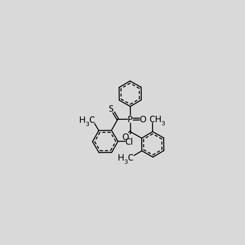 Cc1cccc(C)c1C(=O)P(=O)(C(=S)c1c(C)cccc1Cl)c1ccccc1